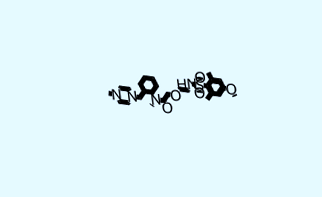 COc1cc(C)c(S(=O)(=O)NCCOCC(=O)N(C)[C@H]2CCCCC2CN2CCN(C)CC2)c(C)c1